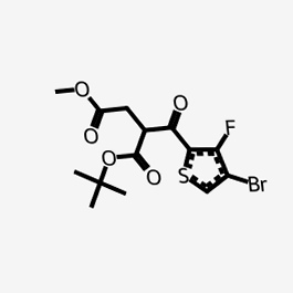 COC(=O)CC(C(=O)OC(C)(C)C)C(=O)c1scc(Br)c1F